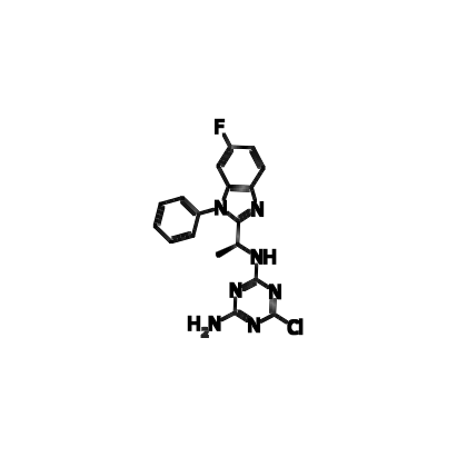 C[C@H](Nc1nc(N)nc(Cl)n1)c1nc2ccc(F)cc2n1-c1ccccc1